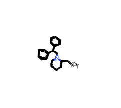 CC(C)CC1CCCCN1CC(c1ccccc1)c1ccccc1